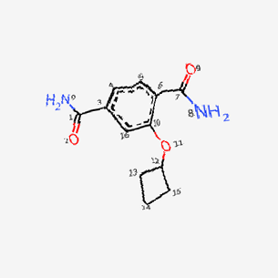 NC(=O)c1ccc(C(N)=O)c(OC2CCC2)c1